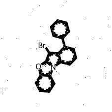 Brc1c2c(-c3ccccc3)cccc2n2c1oc1ccccc12